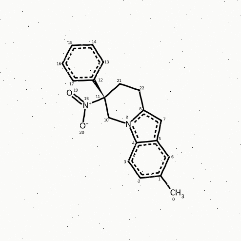 Cc1ccc2c(c1)cc1n2C[C@](c2ccccc2)([N+](=O)[O-])CC1